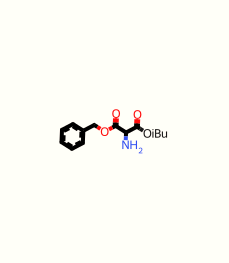 CC(C)COC(=O)C(N)C(=O)OCc1ccccc1